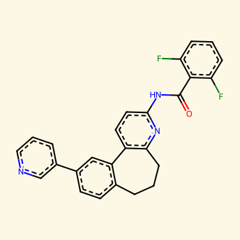 O=C(Nc1ccc2c(n1)CCCc1ccc(-c3cccnc3)cc1-2)c1c(F)cccc1F